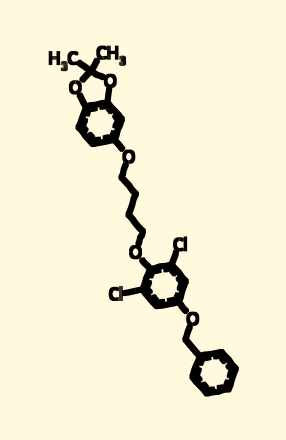 CC1(C)Oc2ccc(OCCCCOc3c(Cl)cc(OCc4ccccc4)cc3Cl)cc2O1